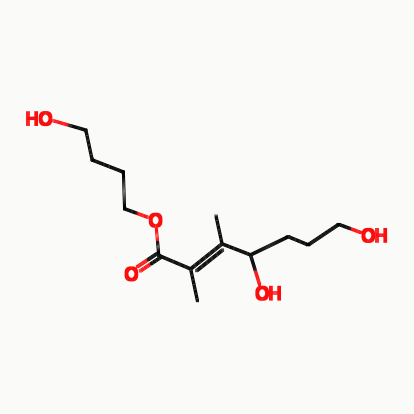 CC(C(=O)OCCCCO)=C(C)C(O)CCCO